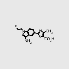 Cc1nc(-c2ccc3c(c2)c(N)cn3CCF)sc1C(=O)O